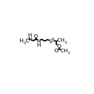 CNCC(=O)NCCCSSC(C)COC(C)=O